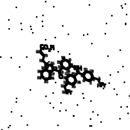 CC(C)Cc1ccc(C(Nc2cccc(C(=O)c3cn(CC=CC(=O)O)c4ccccc34)c2)c2ccc(CC(C)C)cc2)cc1